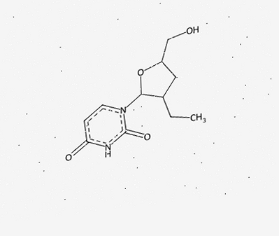 CCC1CC(CO)OC1n1ccc(=O)[nH]c1=O